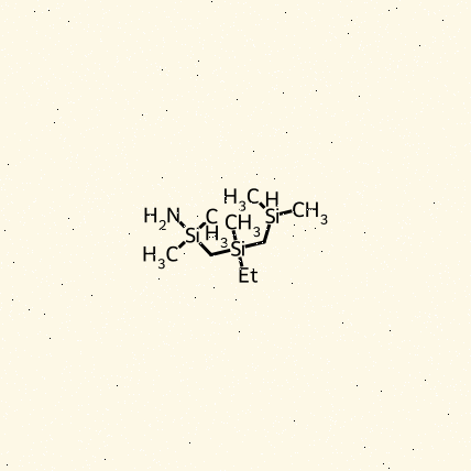 CC[Si](C)(C[SiH](C)C)C[Si](C)(C)N